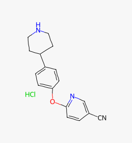 Cl.N#Cc1ccc(Oc2ccc(C3CCNCC3)cc2)nc1